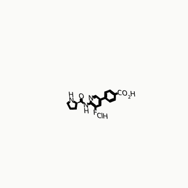 Cl.O=C(O)c1ccc(-c2cnc(NC(=O)[C@H]3CCCN3)c(F)c2)cc1